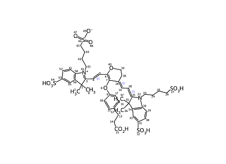 CC1(C)C(/C=C/C2=C(Oc3ccc(CCC(=O)O)cc3)C(=C/C=C3/N(CCCCS(=O)(=O)O)c4ccc(S(=O)(=O)O)cc4C3(C)C)/CCO2)=[N+](CCCCS(=O)(=O)[O-])c2ccc(S(=O)(=O)O)cc21